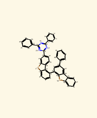 c1ccc(-c2cc(-c3cccc4sc5cc(-c6nc(-c7ccccc7)nc(-c7ccccc7)n6)ccc5c34)c3sc4ccccc4c3c2)cc1